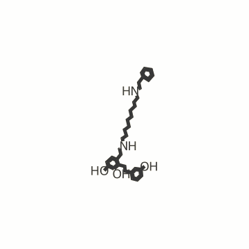 Oc1cccc(CCc2c(CCNCCCCCCCCCCNCCc3ccccc3)ccc(O)c2O)c1